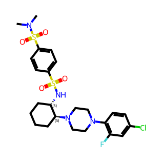 CN(C)S(=O)(=O)c1ccc(S(=O)(=O)N[C@H]2CCCC[C@@H]2N2CCN(c3ccc(Cl)cc3F)CC2)cc1